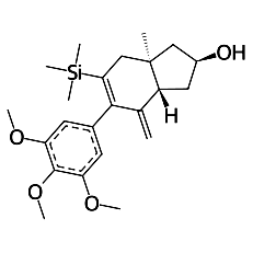 C=C1C(c2cc(OC)c(OC)c(OC)c2)=C([Si](C)(C)C)C[C@@]2(C)C[C@@H](O)C[C@H]12